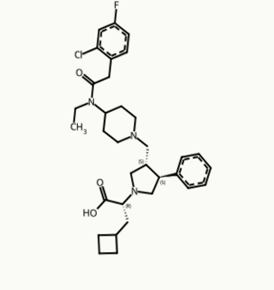 CCN(C(=O)Cc1ccc(F)cc1Cl)C1CCN(C[C@H]2CN([C@H](CC3CCC3)C(=O)O)C[C@@H]2c2ccccc2)CC1